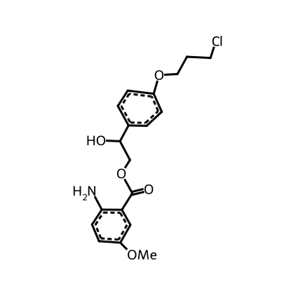 COc1ccc(N)c(C(=O)OCC(O)c2ccc(OCCCCl)cc2)c1